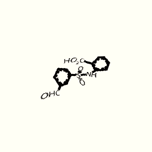 O=Cc1cccc(S(=O)(=O)Nc2ccccc2C(=O)O)c1